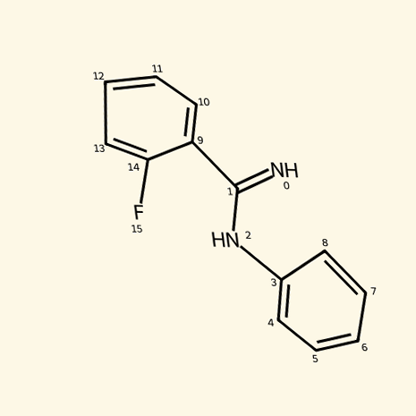 N=C(Nc1ccccc1)c1ccccc1F